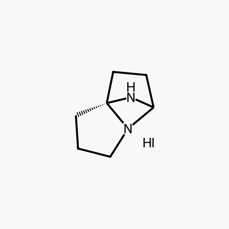 C1CN2C3CC[C@@]2(C1)N3.I